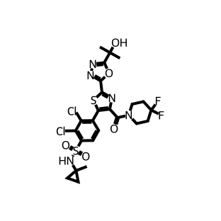 CC1(NS(=O)(=O)c2ccc(-c3sc(-c4nnc(C(C)(C)O)o4)nc3C(=O)N3CCC(F)(F)CC3)c(Cl)c2Cl)CC1